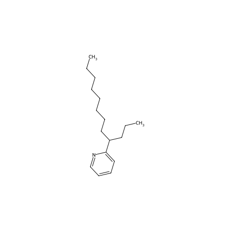 CCCCCCCCC(CCC)c1ccccn1